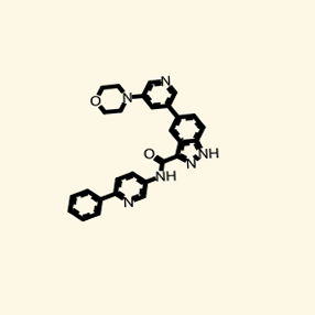 O=C(Nc1ccc(-c2ccccc2)nc1)c1n[nH]c2ccc(-c3cncc(N4CCOCC4)c3)cc12